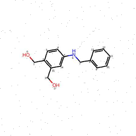 OCc1ccc(NCc2ccccc2)cc1CO